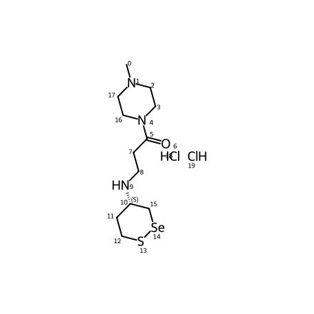 CN1CCN(C(=O)CCN[C@H]2CCS[Se]C2)CC1.Cl.Cl